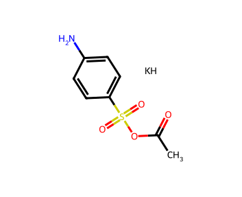 CC(=O)OS(=O)(=O)c1ccc(N)cc1.[KH]